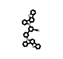 N#Cc1cc(-c2cccc(-n3c4ccccc4c4c5sc6ccccc6c5ccc43)c2)cc(-n2c3ccccc3c3c4oc5ccccc5c4ccc32)c1